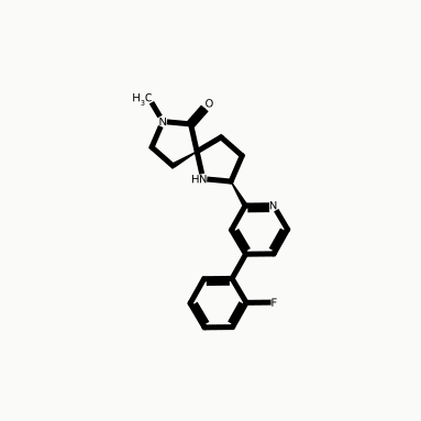 CN1CC[C@]2(CC[C@@H](c3cc(-c4ccccc4F)ccn3)N2)C1=O